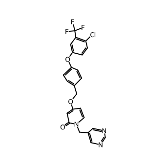 O=c1cc(OCc2ccc(Oc3ccc(Cl)c(C(F)(F)F)c3)cc2)ccn1Cc1cncnc1